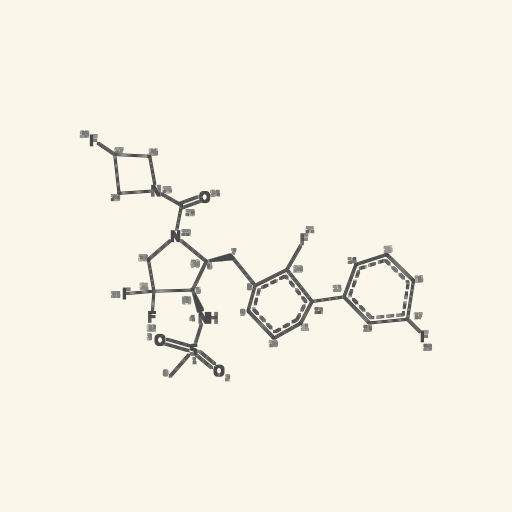 CS(=O)(=O)N[C@@H]1[C@H](Cc2cccc(-c3cccc(F)c3)c2F)N(C(=O)N2CC(F)C2)CC1(F)F